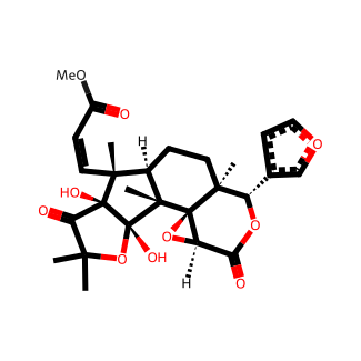 COC(=O)/C=C\[C@]1(C)[C@H]2CC[C@@]3(C)[C@H](c4ccoc4)OC(=O)[C@H]4O[C@]43[C@]2(C)[C@]2(O)OC(C)(C)C(=O)[C@@]21O